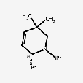 CC(C)[C@@H]1C=CC(C)(C)CN1C(C)C